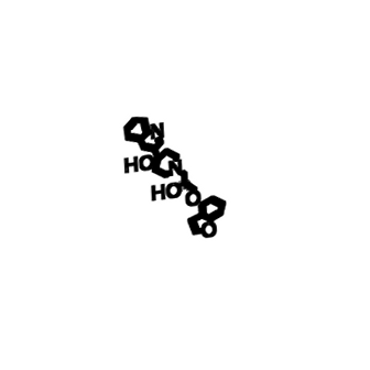 O[C@H](COc1cccc2occc12)CN1CCC(O)(c2cnc3ccccc3c2)CC1